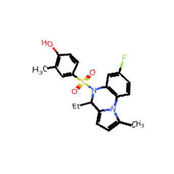 CCC1c2ccc(C)n2-c2ccc(F)cc2N1S(=O)(=O)c1ccc(O)c(C)c1